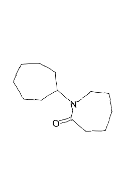 O=C1CCCCCN1C1CCCCCC1